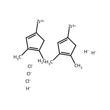 CC1=C(C)C[C]([Zr+3])=C1.CC1=C(C)C[C]([Zr+3])=C1.[Cl-].[Cl-].[Cl-].[H-].[H-].[H-]